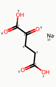 O=C(O)CCC(=O)C(=O)O.[Na]